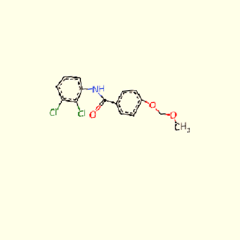 COCOc1ccc(C(=O)Nc2cccc(Cl)c2Cl)cc1